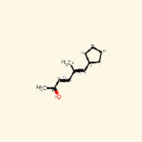 CC(=O)/C=C/C(C)=C/C1CCCC1